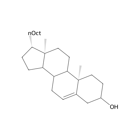 CCCCCCCC[C@H]1CCC2C3CC=C4CC(O)CC[C@]4(C)C3CC[C@@]21C